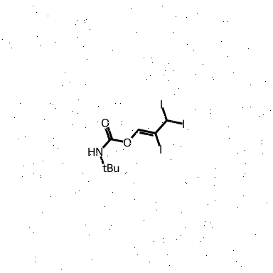 CC(C)(C)NC(=O)OC=C(I)C(I)I